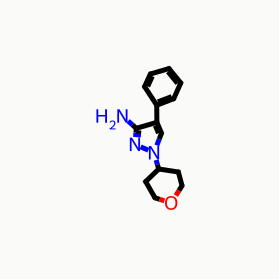 Nc1nn(C2CCOCC2)cc1-c1ccccc1